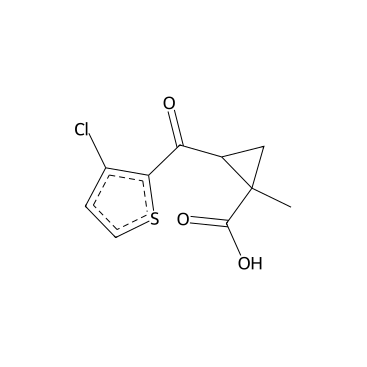 CC1(C(=O)O)CC1C(=O)c1sccc1Cl